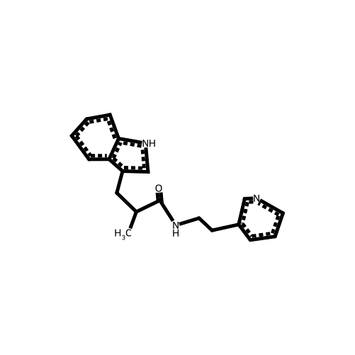 CC(Cc1c[nH]c2ccccc12)C(=O)NCCc1cccnc1